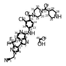 N#CCn1cc(-c2cnc3c(Nc4ccc(C(=O)N5CCN(C(=O)C6CCNCC6)CC5)c(Cl)c4)nccn23)c(C(F)(F)F)n1.O=CO